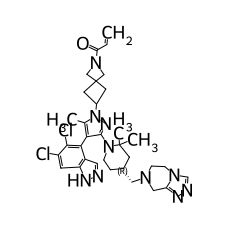 C=CC(=O)N1CC2(CC(n3nc(N4CC[C@@H](CN5CCn6cnnc6C5)CC4(C)C)c(-c4c(Cl)c(Cl)cc5[nH]ncc45)c3C)C2)C1